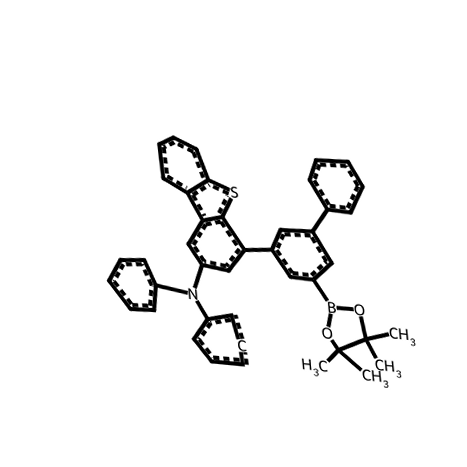 CC1(C)OB(c2cc(-c3ccccc3)cc(-c3cc(N(c4ccccc4)c4ccccc4)cc4c3sc3ccccc34)c2)OC1(C)C